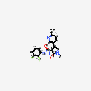 CN1CC(c2ccc(C(F)(F)F)nc2)C(C(=O)Nc2cccc(F)c2F)C1=O